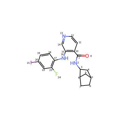 O=C(NC1CC2CCC1C2)c1ccncc1Nc1ccc(I)cc1F